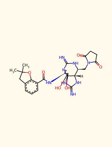 CC1(C)Cc2cccc(C(=O)N[C@H]3CN4C(=N)N[C@@H](CN5C(=O)CCC5=O)[C@@H]5NC(=N)NC54C3(O)O)c2O1